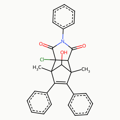 CC12C(c3ccccc3)=C(c3ccccc3)C(C)(C1O)C1(Cl)C(=O)N(c3ccccc3)C(=O)C21